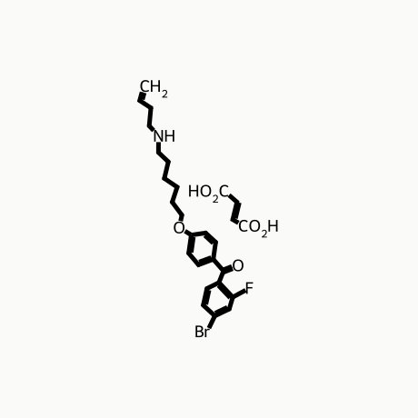 C=CCCNCCCCCCOc1ccc(C(=O)c2ccc(Br)cc2F)cc1.O=C(O)C=CC(=O)O